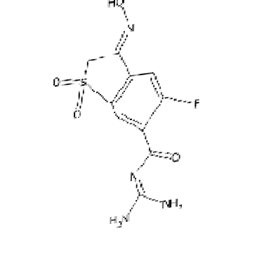 NC(N)=NC(=O)c1cc2c(cc1F)/C(=N/O)CS2(=O)=O